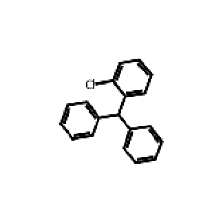 Clc1ccccc1C(c1ccccc1)c1ccccc1